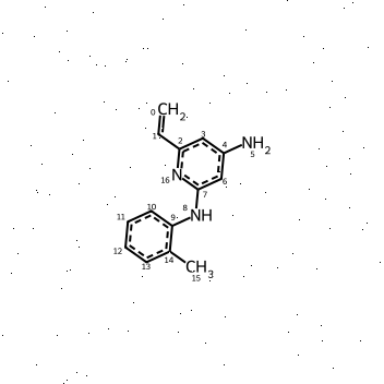 C=Cc1cc(N)cc(Nc2ccccc2C)n1